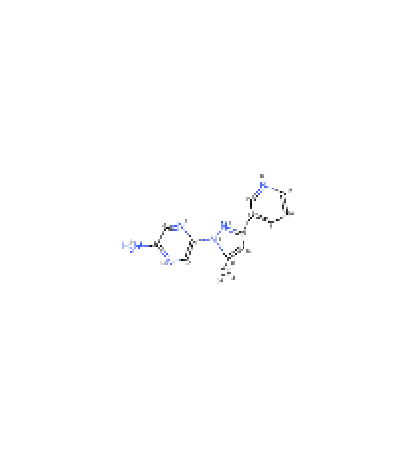 Nc1cnc(-n2nc(-c3cccnc3)cc2C(F)(F)F)cn1